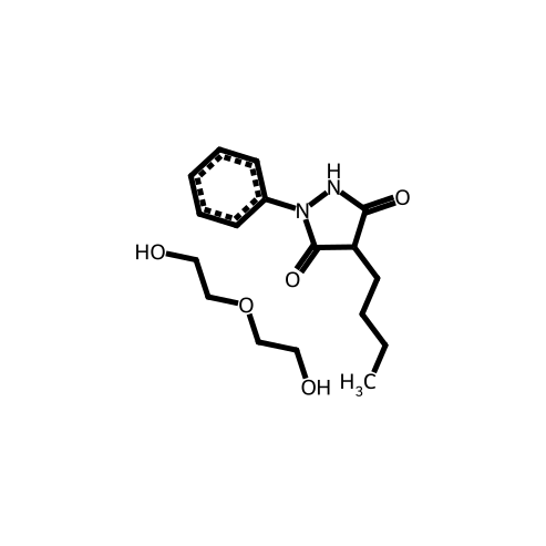 CCCCC1C(=O)NN(c2ccccc2)C1=O.OCCOCCO